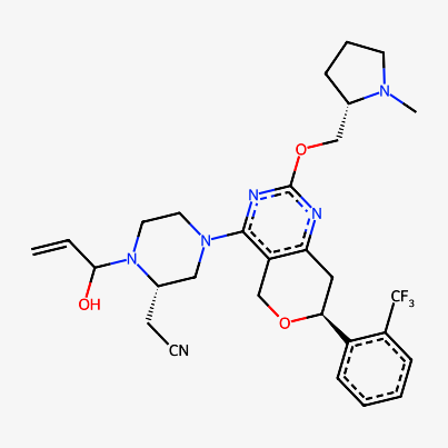 C=CC(O)N1CCN(c2nc(OC[C@@H]3CCCN3C)nc3c2CO[C@H](c2ccccc2C(F)(F)F)C3)C[C@@H]1CC#N